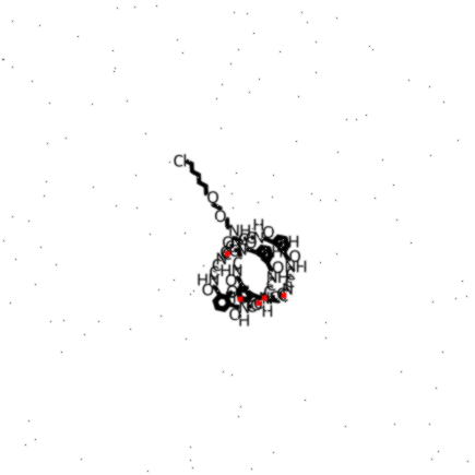 O=C(CN1CCN2CCNC(=O)c3cccc(c3O)C(=O)NCCN(CCNC(=O)c3cccc(c3O)C1=O)CCN1CCNC(=O)c3cccc(c3O)C(=O)NCCN(CCNC(=O)c3cccc(c3O)C(=O)NCC1)CC2)NCCOCCOCCCCCCCl